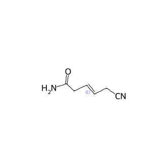 N#CC/C=C/CC(N)=O